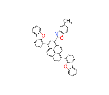 Cc1ccc2oc(-c3cc(-c4cccc5c4oc4ccccc45)c4ccc5ccc(-c6cccc7c6oc6ccccc67)c6ccc3c4c56)nc2c1